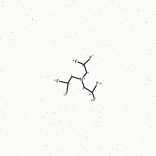 FC(F)CN(CC(F)F)CC(F)F